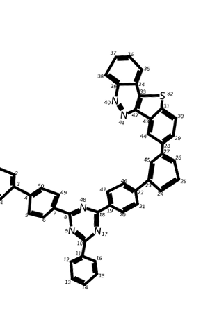 c1ccc(-c2ccc(-c3nc(-c4ccccc4)nc(-c4ccc(-c5cccc(-c6ccc7sc8c9ccccc9nnc8c7c6)c5)cc4)n3)cc2)cc1